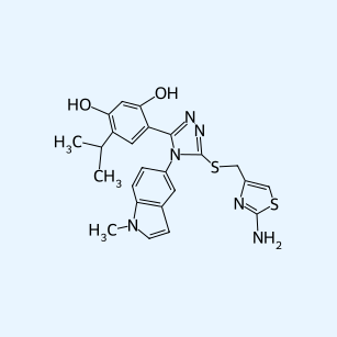 CC(C)c1cc(-c2nnc(SCc3csc(N)n3)n2-c2ccc3c(ccn3C)c2)c(O)cc1O